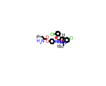 CC(C)C[C@H](N)C(=O)OC1CCC(NC(=O)[C@@H]2N[C@H](CC(C)(C)C)C3C4=CC(Cl)=CC3[C@@H](C(=O)N4)[C@H]2c2cccc(Cl)c2F)CC1